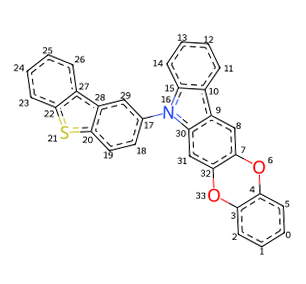 c1ccc2c(c1)Oc1cc3c4ccccc4n(-c4ccc5sc6ccccc6c5c4)c3cc1O2